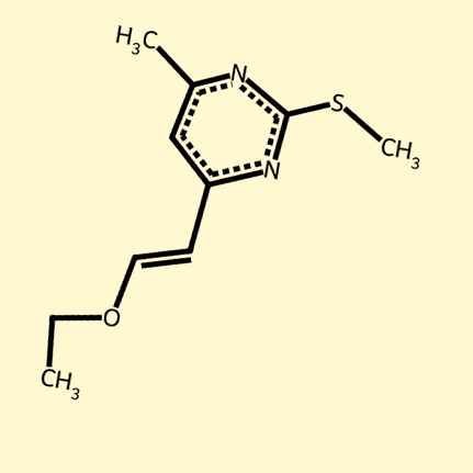 CCOC=Cc1cc(C)nc(SC)n1